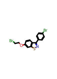 BrCCOc1ccc2c(-c3ccc(Br)cc3)nsc2c1